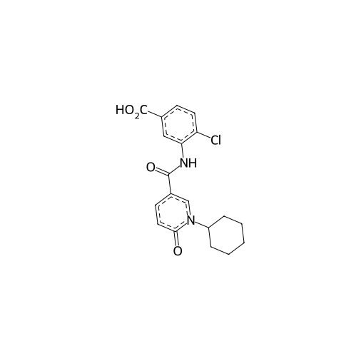 O=C(O)c1ccc(Cl)c(NC(=O)c2ccc(=O)n(C3CCCCC3)c2)c1